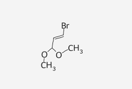 COC(C=CBr)OC